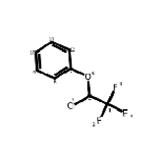 FC(F)(F)C(Cl)Oc1cc[c]cc1